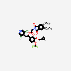 COc1cc2c(cc1OC)C(=O)N(CC(=O)OC(Cc1c(Cl)cncc1Cl)c1ccc(OC(F)F)c(OCC3CC3)c1)C2=O